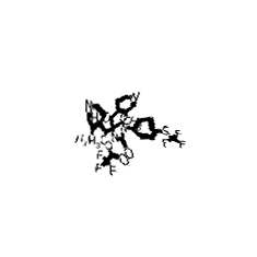 Cc1cnccc1C(C)C1(C(C)c2ccncc2C)C(=O)N(c2ccc(SC(F)(F)F)cc2)C(=O)N1OC(=O)C(F)(F)F